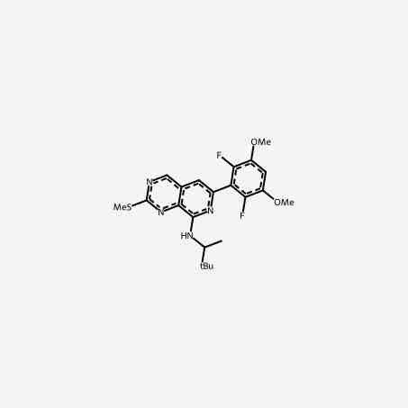 COc1cc(OC)c(F)c(-c2cc3cnc(SC)nc3c(NC(C)C(C)(C)C)n2)c1F